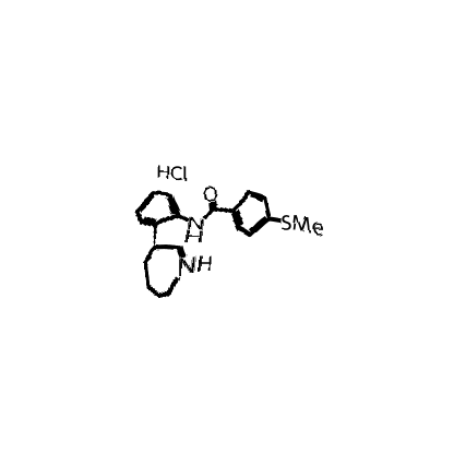 CSc1ccc(C(=O)Nc2ccccc2[C@@H]2CCCNC2)cc1.Cl